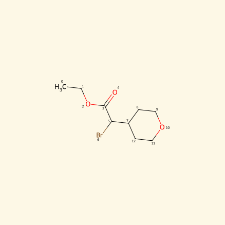 CCOC(=O)C(Br)C1CCOCC1